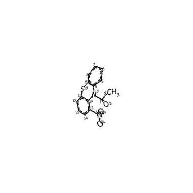 CC(=O)N1c2ccccc2Sc2cccc([N+](=O)[O-])c21